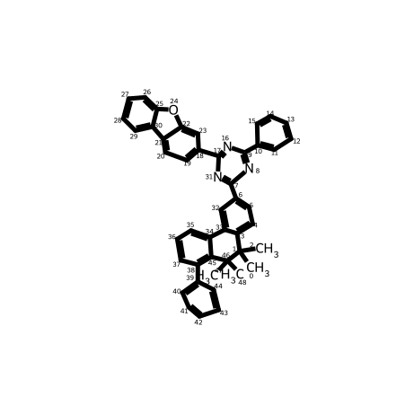 CC1(C)c2ccc(-c3nc(-c4ccccc4)nc(-c4ccc5c(c4)oc4ccccc45)n3)cc2-c2cccc(-c3ccccc3)c2C1(C)C